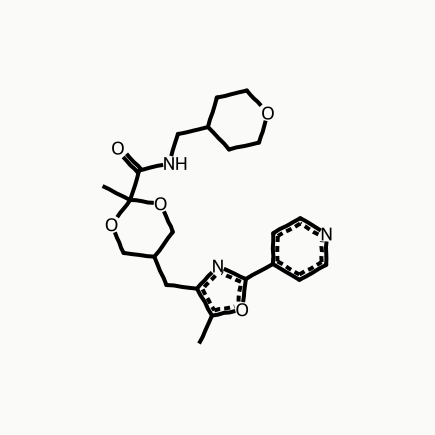 Cc1oc(-c2ccncc2)nc1CC1COC(C)(C(=O)NCC2CCOCC2)OC1